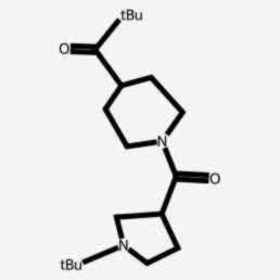 CC(C)(C)C(=O)C1CCN(C(=O)C2CCN(C(C)(C)C)C2)CC1